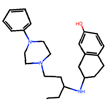 CCC(CCN1CCN(c2ccccc2)CC1)NC1CCc2ccc(O)cc2C1